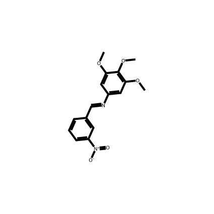 COc1cc(N=Cc2cccc([N+](=O)[O-])c2)cc(OC)c1OC